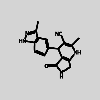 CC1=C(C#N)C(c2ccc3[nH]nc(C)c3c2)C2=C(CNC2=O)N1